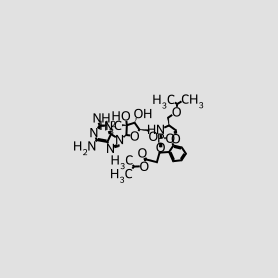 CC(C)OC[C@@H](C=O)NP(=O)(OC[C@H]1O[C@@H](n2cnc3c(N)nc(N)nc32)[C@](C)(O)[C@@H]1O)Oc1ccccc1CCC(=O)OC(C)C